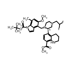 COC(=O)c1ccc([C@@H]2CN(CC(F)F)CCN2Cc2c(OC)cc(C)c3c2ccn3C(=O)OC(C)(C)C)c2c1NCCC2